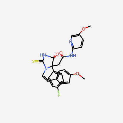 COc1ccc(/C=C\N2C(=S)NC(=O)C2(CC(=O)Nc2ccc(OC)cn2)c2ccc(F)cc2)cc1